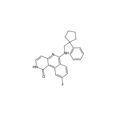 O=c1[nH]ccc2nc(NCC3(c4ccccc4)CCCC3)c3ccc(F)cc3c12